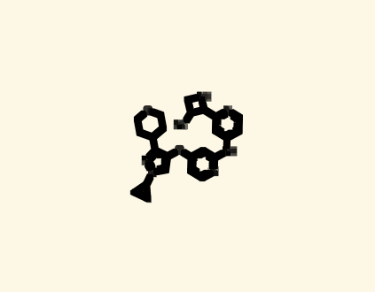 N#CC1CNC1c1cc(Nc2cc(Oc3cn(C4CC4)nc3C3CCOCC3)ccn2)ccn1